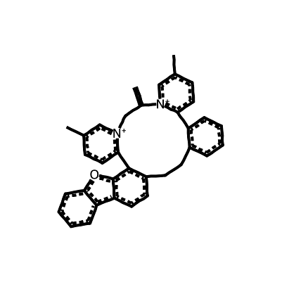 C=C1C[n+]2cc(C)ccc2-c2c(ccc3c2oc2ccccc23)CCc2ccccc2-c2ccc(C)c[n+]21